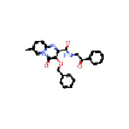 Cc1ccc2nc(C(=O)NCC(=O)c3ccccc3)c(OCc3ccccc3)c(=O)n2c1